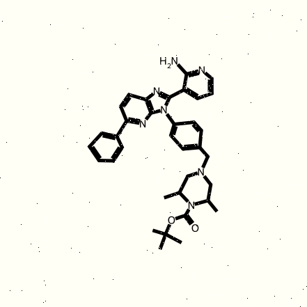 CC1CN(Cc2ccc(-n3c(-c4cccnc4N)nc4ccc(-c5ccccc5)nc43)cc2)CC(C)N1C(=O)OC(C)(C)C